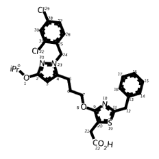 CC(C)Oc1cc(CCCOc2nc(Cc3ccccc3)sc2CC(=O)O)n(Cc2ccc(Cl)cc2Cl)n1